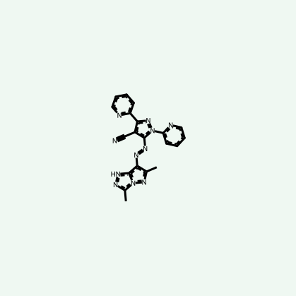 Cc1nn2c(C)n[nH]c2c1/N=N/c1c(C#N)c(-c2ccccn2)nn1-c1ccccn1